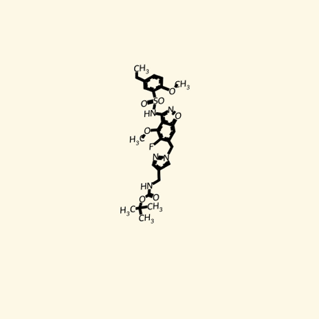 CCc1ccc(OC)c(S(=O)(=O)Nc2noc3cc(Cn4cc(CNC(=O)OC(C)(C)C)cn4)c(F)c(OC)c23)c1